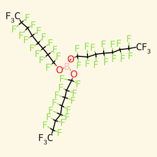 FC(F)(F)C(F)(F)C(F)(F)C(F)(F)C(F)(F)C(F)(F)C(F)(F)C(F)(F)OB(OC(F)(F)C(F)(F)C(F)(F)C(F)(F)C(F)(F)C(F)(F)C(F)(F)C(F)(F)F)OC(F)(F)C(F)(F)C(F)(F)C(F)(F)C(F)(F)C(F)(F)C(F)(F)C(F)(F)F